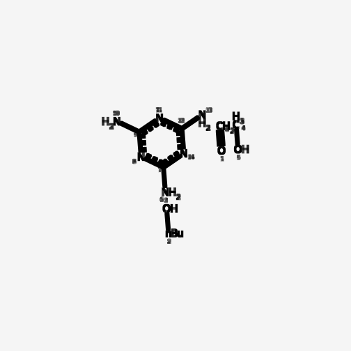 C=O.CCCCO.CO.Nc1nc(N)nc(N)n1